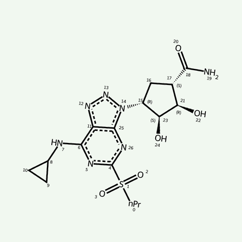 CCCS(=O)(=O)c1nc(NC2CC2)c2nnn([C@@H]3C[C@H](C(N)=O)[C@@H](O)[C@H]3O)c2n1